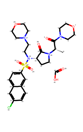 C[C@@H](C(=O)N1CCOCC1)N1CC[C@H](N(CCN2CCOCC2)S(=O)(=O)c2ccc3cc(Cl)ccc3c2)C1=O.O=CO